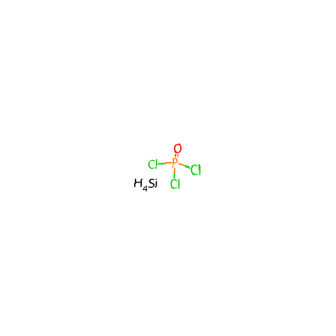 O=P(Cl)(Cl)Cl.[SiH4]